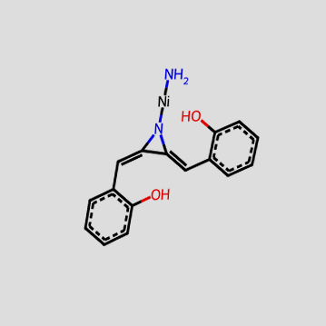 [NH2][Ni][N]1C(=Cc2ccccc2O)C1=Cc1ccccc1O